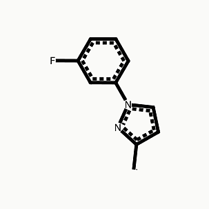 [CH2]c1ccn(-c2cccc(F)c2)n1